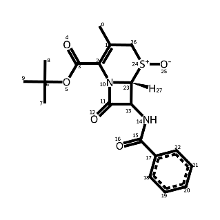 CC1=C(C(=O)OC(C)(C)C)N2C(=O)C(NC(=O)c3ccccc3)[C@H]2[S+]([O-])C1